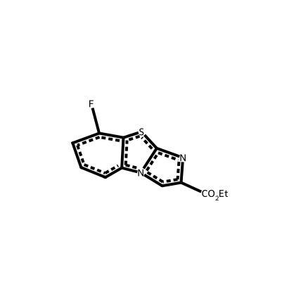 CCOC(=O)c1cn2c(n1)sc1c(F)cccc12